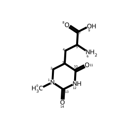 CN1CC(CC(N)C(=O)O)C(=O)NC1=O